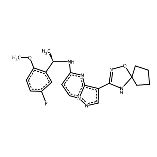 COc1ccc(F)cc1[C@@H](C)Nc1ccn2ncc(C3=NOC4(CCCC4)N3)c2n1